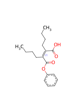 CCCC/C(C(=O)O)=C(\CCCC)C(=O)Oc1ccccc1